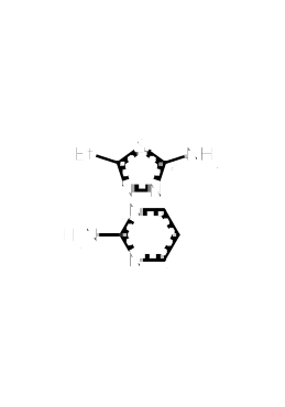 CCc1nnc(N)s1.Nc1ncccn1